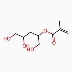 C=C(C)C(=O)OC(CO)CC(O)CO